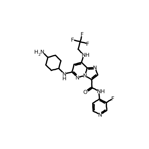 NC1CCC(Nc2cc(NCC(F)(F)F)c3ncc(C(=O)Nc4ccncc4F)n3n2)CC1